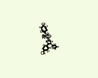 O=C(NS(=O)(=O)c1ccc(C(F)(F)F)cc1)N1C[C@@H](c2cccs2)C(c2ccc(Cl)cc2)=N1